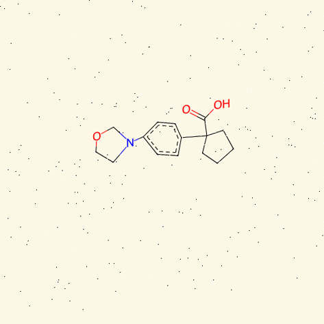 O=C(O)C1(c2ccc(N3CCOC3)cc2)CCCC1